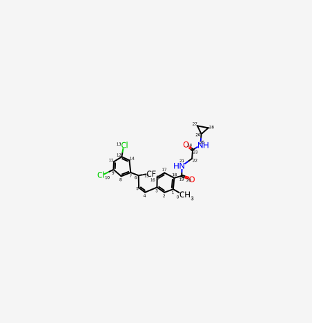 Cc1cc(/C=C\C(c2cc(Cl)cc(Cl)c2)C(F)(F)F)ccc1C(=O)NCC(=O)NC1CC1